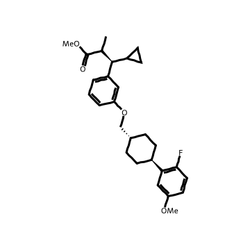 COC(=O)C(C)[C@H](c1cccc(OC[C@H]2CC[C@H](c3cc(OC)ccc3F)CC2)c1)C1CC1